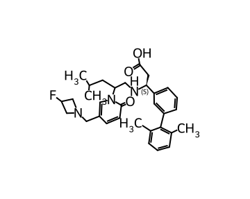 Cc1cccc(C)c1-c1cccc([C@H](CC(=O)O)NCC(CC(C)C)n2cc(CN3CC(F)C3)ccc2=O)c1